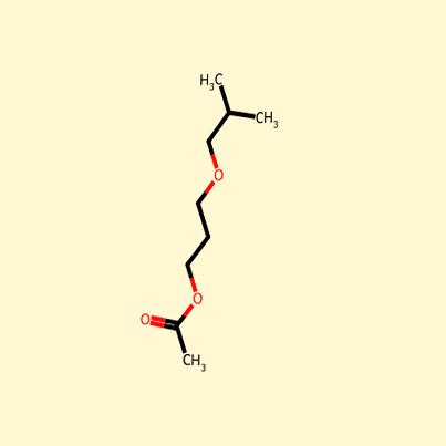 CC(=O)OCCCOCC(C)C